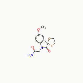 NC(=O)CN1C(=O)C2(SCCS2)c2cc(OC(F)(F)F)ccc21